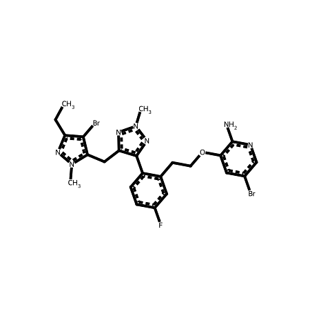 CCc1nn(C)c(Cc2nn(C)nc2-c2ccc(F)cc2CCOc2cc(Br)cnc2N)c1Br